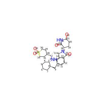 C[C@H](N[C@H]1CCCC[C@@H]1Cc1ccc2c(c1)CN([C@H]1CCC(=O)NC1=O)C2=O)C1CCS(=O)(=O)CC1